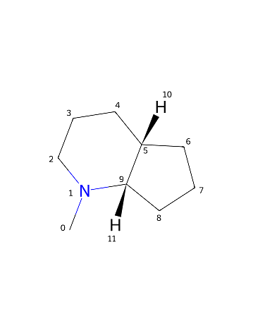 CN1CCC[C@@H]2CCC[C@@H]21